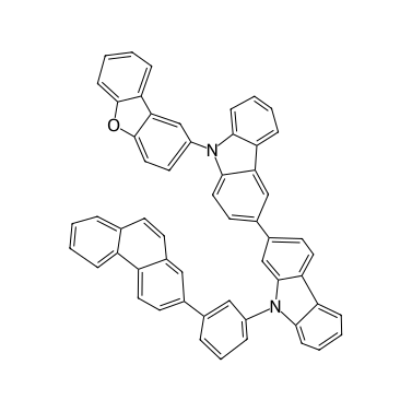 c1cc(-c2ccc3c(ccc4ccccc43)c2)cc(-n2c3ccccc3c3ccc(-c4ccc5c(c4)c4ccccc4n5-c4ccc5oc6ccccc6c5c4)cc32)c1